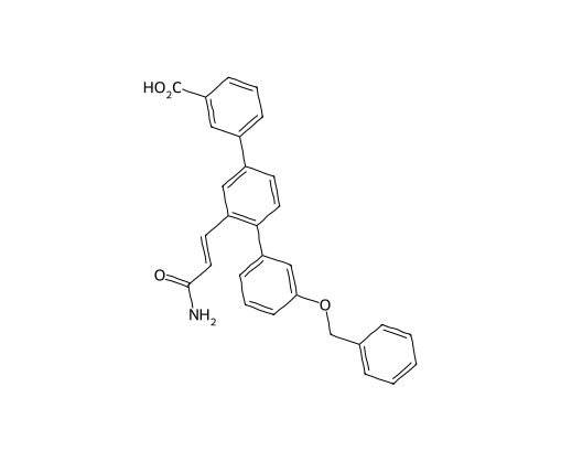 NC(=O)/C=C/c1cc(-c2cccc(C(=O)O)c2)ccc1-c1cccc(OCc2ccccc2)c1